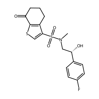 CN(C[C@H](O)c1ccc(F)cc1)S(=O)(=O)c1csc2c1CCCC2=O